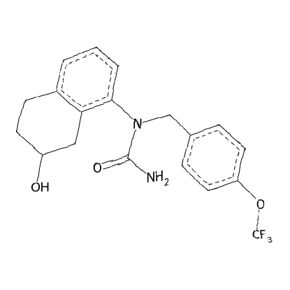 NC(=O)N(Cc1ccc(OC(F)(F)F)cc1)c1cccc2c1CC(O)CC2